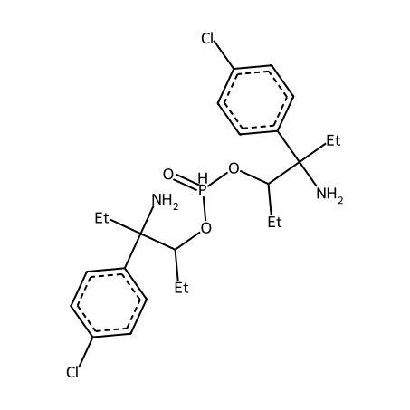 CCC(O[PH](=O)OC(CC)C(N)(CC)c1ccc(Cl)cc1)C(N)(CC)c1ccc(Cl)cc1